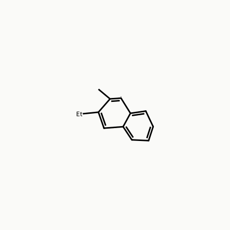 CCc1cc2ccccc2[c]c1C